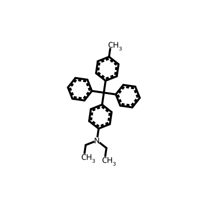 CCN(CC)c1ccc(C(c2ccccc2)(c2ccccc2)c2ccc(C)cc2)cc1